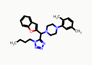 CCCCn1nnnc1C(c1cc2ccccc2o1)N1CCN(c2cc(C)ccc2C)CC1